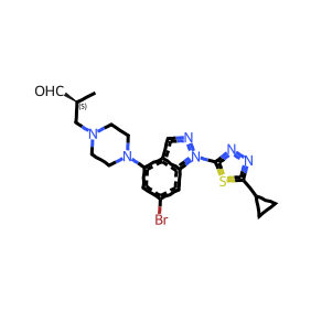 C[C@H](C=O)CN1CCN(c2cc(Br)cc3c2cnn3-c2nnc(C3CC3)s2)CC1